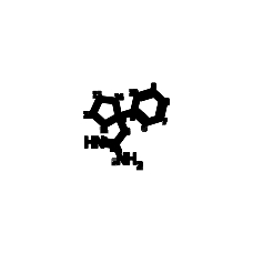 N=C(N)CC1(c2ccccc2)CCCC1